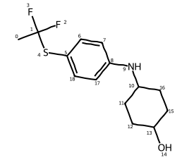 CC(F)(F)Sc1ccc(NC2CCC(O)CC2)cc1